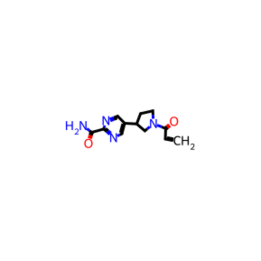 C=CC(=O)N1CCC(c2cnc(C(N)=O)nc2)C1